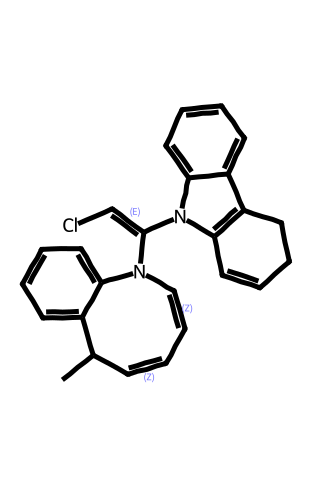 CC1/C=C\C=C/N(/C(=C\Cl)n2c3c(c4ccccc42)CCC=C3)c2ccccc21